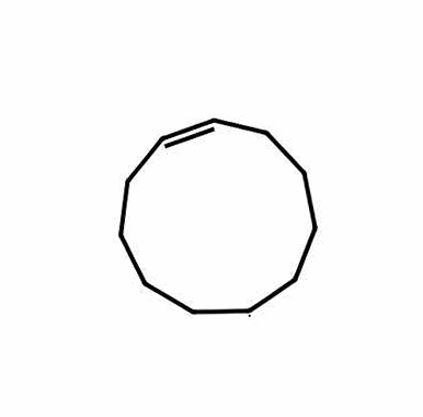 [CH]1CCCC/C=C\CCCC1